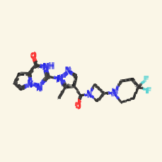 Cc1c(C(=O)N2CC(N3CCC(F)(F)CC3)C2)cnn1-c1nn2cccc2c(=O)[nH]1